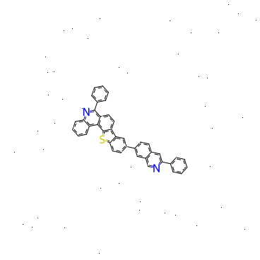 c1ccc(-c2cc3ccc(-c4ccc5sc6c(ccc7c(-c8ccccc8)nc8ccccc8c76)c5c4)cc3cn2)cc1